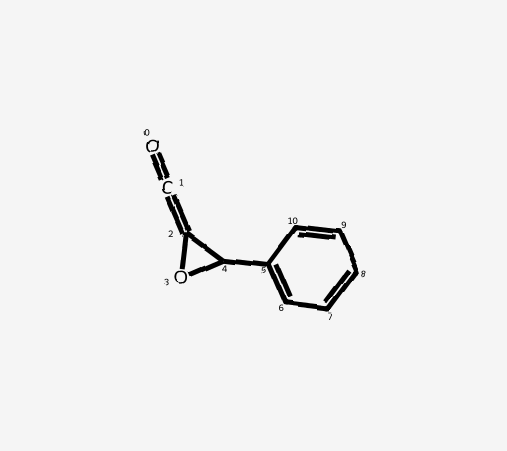 O=C=C1OC1c1ccccc1